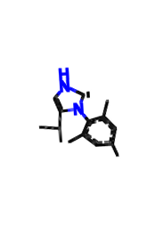 Cc1cc(C)c(N2[C]NC=C2C(C)C)c(C)c1